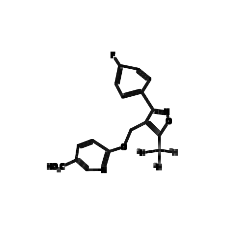 [2H]C([2H])([2H])c1onc(-c2ccc(F)cc2)c1COc1ccc(C(=O)O)cn1